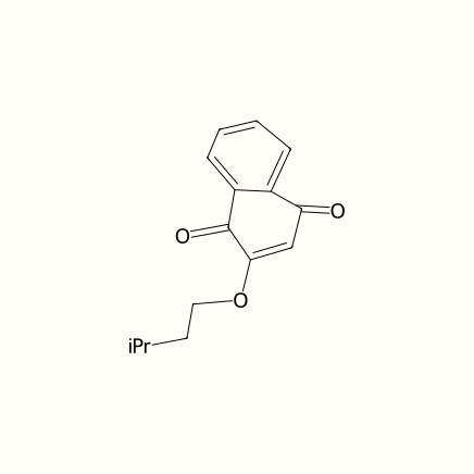 CC(C)CCOC1=CC(=O)c2ccccc2C1=O